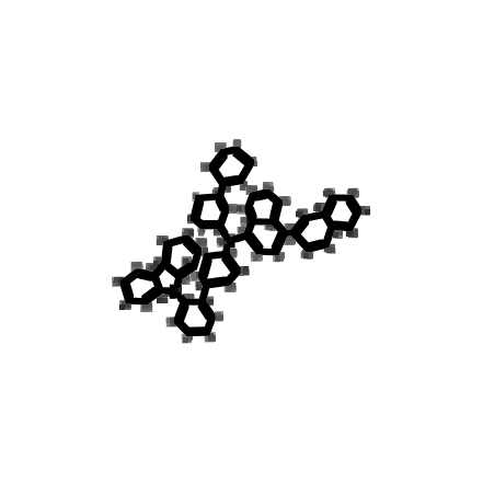 c1ccc(-c2cccc(N(c3ccc(-c4ccccc4-n4c5ccccc5c5ccccc54)cc3)c3ccc(-c4ccc5ccccc5c4)c4ccccc34)c2)cc1